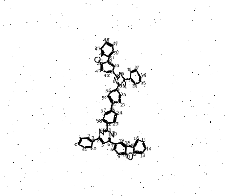 c1ccc(-c2cc(-c3ccc4oc5ccccc5c4c3)nc(-c3ccc(-c4ccc(-c5nc(-c6ccccc6)nc(-c6ccc7oc8ccccc8c7c6)n5)cc4)cc3)n2)cc1